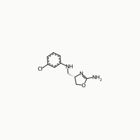 NC1=N[C@@H](CNc2cccc(Cl)c2)CO1